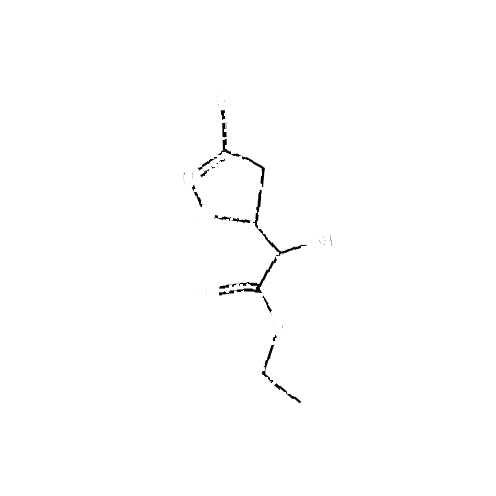 CCOC(=O)C(O)C1CC(Br)=NO1